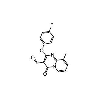 Cc1cccn2c(=O)c(C=O)c(Oc3ccc(F)cc3)nc12